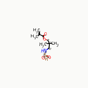 C=C(C)C(=O)OCC(C)(C)CN[SH](=O)=O